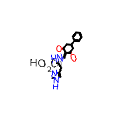 O=C1CC(c2ccccc2)CC(=O)C1=CN[C@@H](Cc1c[nH]cn1)C(=O)O